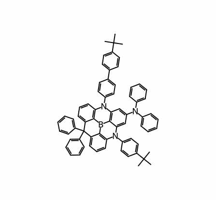 CC(C)(C)c1ccc(-c2ccc(N3c4cc(N(c5ccccc5)c5ccccc5)cc5c4B4c6c3cccc6C(c3ccccc3)(c3ccccc3)c3cccc(c34)N5c3ccc(C(C)(C)C)cc3)cc2)cc1